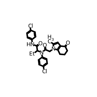 CCC(C(=O)Nc1ccc(Cl)cc1)N(C(=O)Cn1c(C)cc2c1CCCC2=O)c1ccc(Cl)cc1